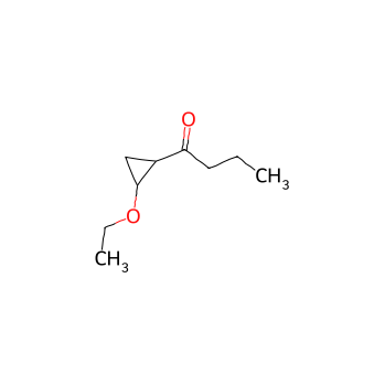 CCCC(=O)C1CC1OCC